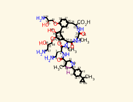 CC1=C(C(=O)N[C@@H](CCN)C(=O)N(C)C2C(=O)N[C@@H](C)C(=O)NC(C(=O)O)Cc3ccc(OCC(O)CN)c(c3)-c3cc2cc(OC[C@@H](O)CN)c3O)C=NC(c2ccc(C3(C)CC3)cc2)P1